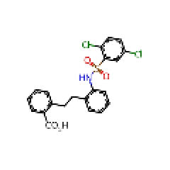 O=C(O)c1ccccc1CCc1ccccc1NS(=O)(=O)c1cc(Cl)ccc1Cl